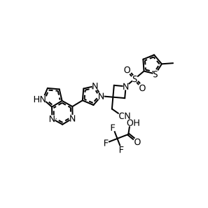 Cc1ccc(S(=O)(=O)N2CC(CC#N)(n3cc(-c4ncnc5[nH]ccc45)cn3)C2)s1.O=C(O)C(F)(F)F